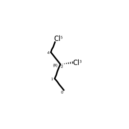 CC[C@@H](Cl)CCl